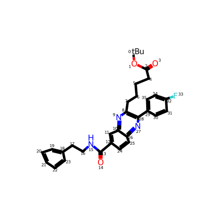 CC(C)(C)OC(=O)CCCCc1nc2cc(C(=O)NCCc3ccccc3)ccc2nc1-c1ccc(F)cc1